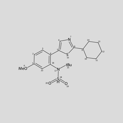 COc1ccc(-c2cnc(C3CCCCC3)s2)c(N([SH](=O)=O)C(C)(C)C)c1